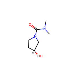 CN(C)C(=O)N1CC[C@H](O)C1